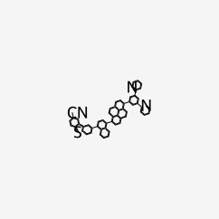 N#Cc1ccc2sc3ccc(-c4ccc(-c5ccc6ccc7c(-c8cc(-c9ccccn9)cc(-c9ccccn9)c8)ccc8ccc5c6c87)c5ccccc45)cc3c2c1